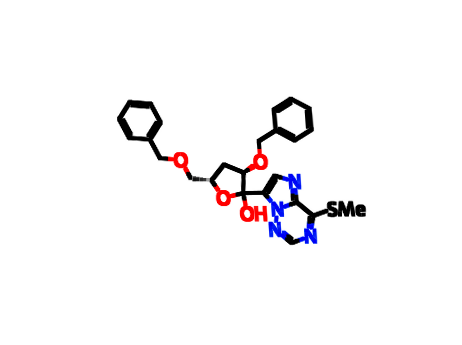 CSc1ncnn2c(C3(O)O[C@H](COCc4ccccc4)C[C@H]3OCc3ccccc3)cnc12